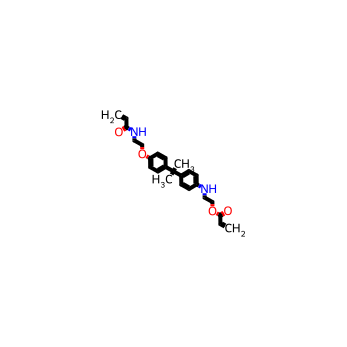 C=CC(=O)NCCOc1ccc(C(C)(C)c2ccc(NCCOC(=O)C=C)cc2)cc1